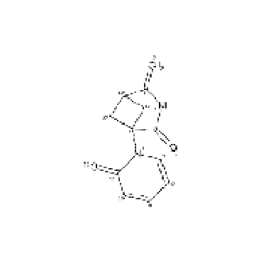 C=C1NC(=O)C2(n3ccccc3=O)CC1C2